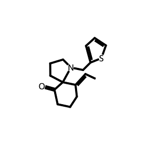 CC=C1CCCC(=O)C12CCCN2Cc1cccs1